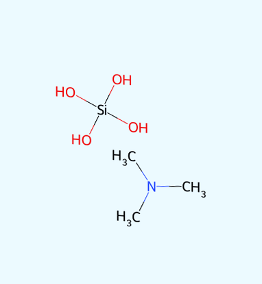 CN(C)C.O[Si](O)(O)O